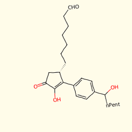 CCCCCC(O)c1ccc(C2=C(O)C(=O)C[C@@H]2CCCCCCC=O)cc1